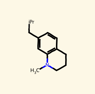 CC(C)Cc1ccc2c(c1)N(C)CCC2